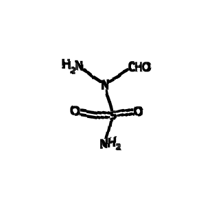 NN(C=O)S(N)(=O)=O